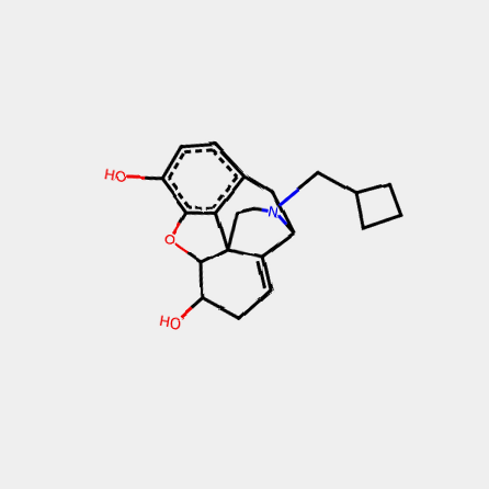 Oc1ccc2c3c1OC1C(O)CC=C4C(C2)N(CC2CCC2)CCC431